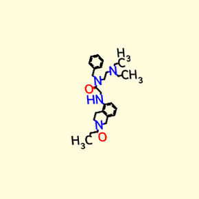 CCC(=O)N1CCc2c(cccc2NCC(=O)N(CCN(CC)CC)Cc2ccccc2)C1